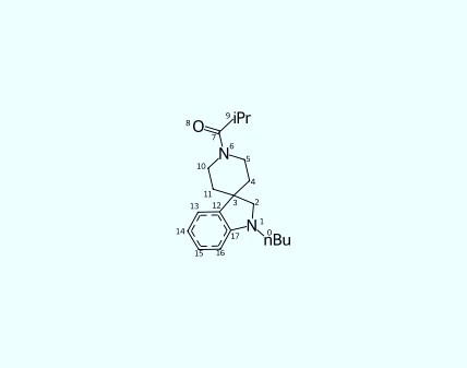 CCCCN1CC2(CCN(C(=O)C(C)C)CC2)c2ccccc21